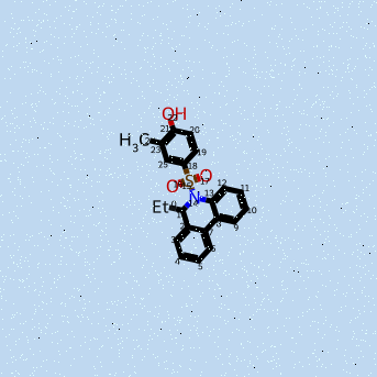 CCC1c2ccccc2-c2ccccc2N1S(=O)(=O)c1ccc(O)c(C)c1